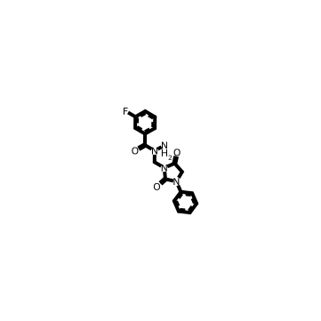 NN(CN1C(=O)CN(c2ccccc2)C1=O)C(=O)c1cccc(F)c1